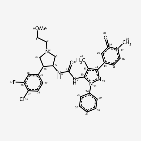 COCCN1CC(NC(=O)Nc2c(C)c(-c3ccn(C)c(=O)c3)nn2-c2ccccc2)C(c2ccc(Cl)c(F)c2)C1